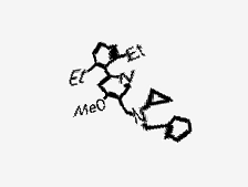 CCc1cccc(CC)c1-c1cc(OC)c(CN(Cc2ccccc2)C2CC2)cn1